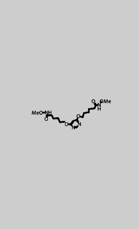 CONC(=O)CCCCCOc1cc(OCCCCCC(=O)NOC)ncn1